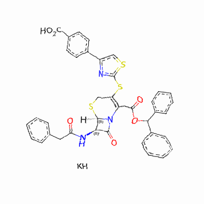 O=C(Cc1ccccc1)N[C@@H]1C(=O)N2C(C(=O)OC(c3ccccc3)c3ccccc3)=C(Sc3nc(-c4ccc(C(=O)O)cc4)cs3)CS[C@H]12.[KH]